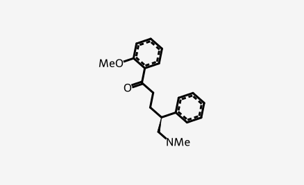 CNC[C@@H](CCC(=O)c1ccccc1OC)c1ccccc1